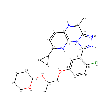 Cc1nc2ccc(C3CC3)nc2n2c(-c3cc(OCC(C)O[C@H]4CCCCO4)ccc3Cl)nnc12